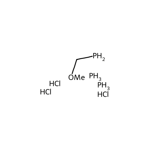 COCP.Cl.Cl.Cl.P.P